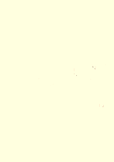 Cc1ccc(S(=O)(=O)OCC(C)(C)Nc2ccc(Br)cc2[N+](=O)[O-])cc1